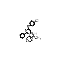 CC(Nc1cc(Sc2ccc(Cl)cc2)nc(-c2ccccc2)n1)N1CCOCC1